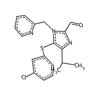 CC(C)c1nc(C=O)n(Cc2ccccn2)c1Sc1cccc(Cl)c1